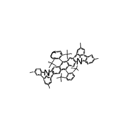 Cc1ccc2c(c1)c1cc(C)cc3c4cc5c(-c6c(C(C)(C)C)cccc6C(C)(C)C)c6cc7c(cc6c(-c6c(C(C)(C)C)cccc6C(C)(C)C)c5cc4n2c13)c1cc(C)cc2c3cc(C)ccc3n7c21